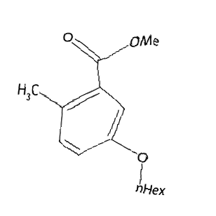 CCCCCCOc1ccc(C)c(C(=O)OC)c1